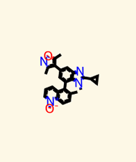 Cc1ccc2c(ccc[n+]2[O-])c1-c1cc(-c2c(C)noc2C)cc2nc(C3CC3)n(C)c12